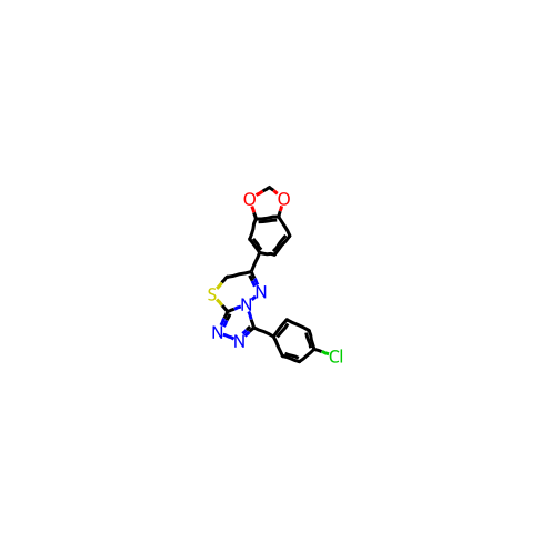 Clc1ccc(-c2nnc3n2N=C(c2ccc4c(c2)OCO4)CS3)cc1